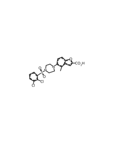 Cc1c(N2CCN(S(=O)(=O)c3cccc(Cl)c3Cl)CC2)ccc2oc(C(=O)O)cc12